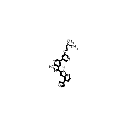 CN(C)CCOc1cncc(-c2cnc3[nH]nc(-c4cc5c(-c6ccoc6)ccnc5[nH]4)c3c2)c1